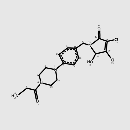 NCC(=O)N1CCN(c2ccc(CN3C(=O)C(Cl)=C(Cl)C3O)cc2)CC1